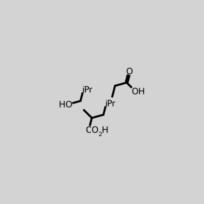 CC(C)CC(C)C(=O)O.CC(C)CO.CCC(=O)O